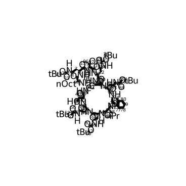 CCCCCCCC[C@H](N)C(=O)N[C@@H](CCNC(=O)OC(C)(C)C)C(=O)N[C@H](C(=O)N[C@@H](CCNC(=O)OC(C)(C)C)C(=O)N[C@H]1CCNC(=O)[C@H]([C@@H](C)O)NC(=O)[C@H](CCNC(=O)OC(C)(C)C)NC(=O)[C@H](CCNC(=O)OC(C)(C)C)NC(=O)[C@H](CC(C)C)NC(=O)[C@@H](Cc2ccccc2)NC(=O)[C@H](CCNC(=O)OC(C)(C)C)NC1=O)[C@@H](C)O